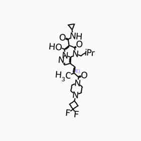 C/C(=C\c1cnn2c(O)c(C(=O)NC3CC3)c(=O)n(CC(C)C)c12)C(=O)N1CCN(C2CC(F)(F)C2)CC1